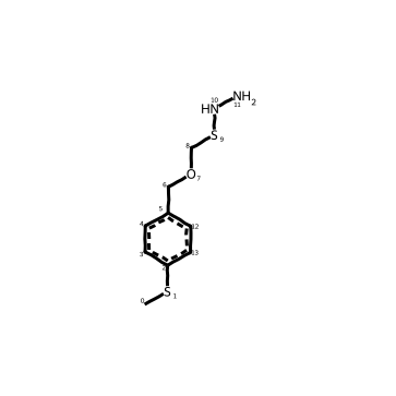 CSc1ccc(COCSNN)cc1